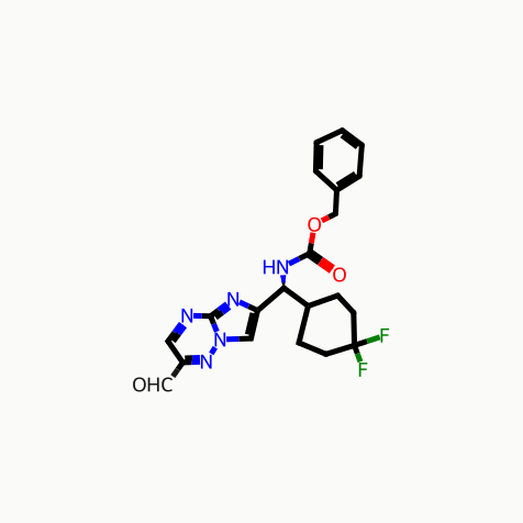 O=Cc1cnc2nc([C@@H](NC(=O)OCc3ccccc3)C3CCC(F)(F)CC3)cn2n1